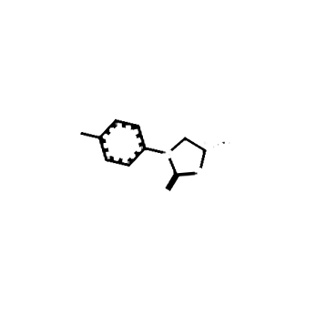 CCC[C@H]1CN(c2ccc(F)cc2)C(=O)O1